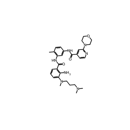 Cc1ccc(NC(=O)c2ccnc(N3CCOCC3)c2)cc1NC(=O)c1cccc(N(C)CCCN(C)C)c1N